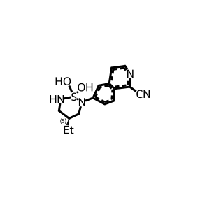 CC[C@H]1CNS(O)(O)N(c2ccc3c(C#N)nccc3c2)C1